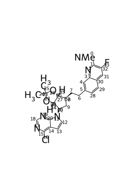 CNc1nc2cc(CC[C@H]3C[C@@H](n4ccc5c(Cl)ncnc54)[C@@H]4OC(C)(C)O[C@H]34)ccc2cc1F